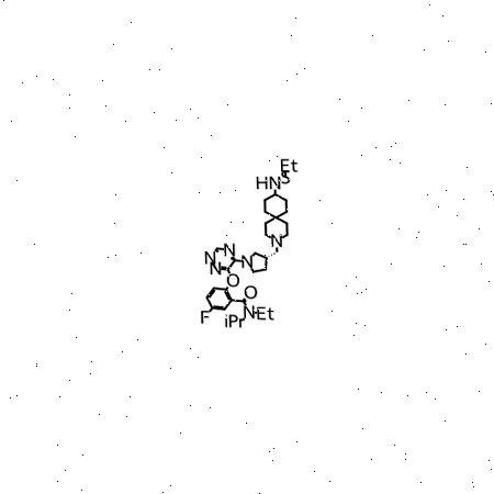 CCSNC1CCC2(CC1)CCN(C[C@@H]1CCN(c3ncnnc3Oc3ccc(F)cc3C(=O)N(CC)C(C)C)C1)CC2